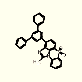 Cc1nc2c(-c3cc(-c4ccccc4)cc(-c4ccccc4)c3)ccc3c2n1-c1ccccc1S3(=O)=O